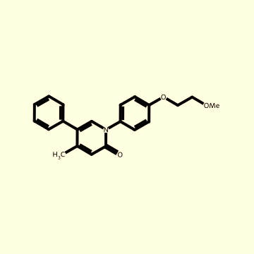 COCCOc1ccc(-n2cc(-c3ccccc3)c(C)cc2=O)cc1